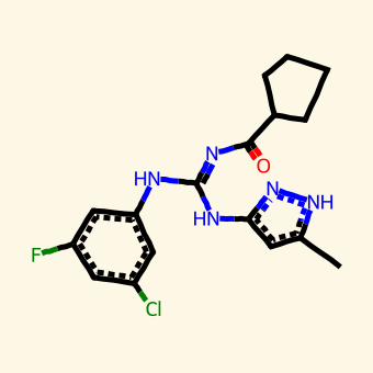 Cc1cc(N/C(=N\C(=O)C2CCCC2)Nc2cc(F)cc(Cl)c2)n[nH]1